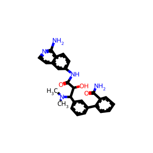 CN(C)C(c1cccc(-c2ccccc2C(N)=O)c1)C(O)C(=O)Nc1ccc2c(N)nccc2c1